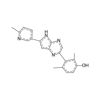 Cc1ccc(-c2cc3nc(-c4c(C)ccc(O)c4C)cnc3[nH]2)cn1